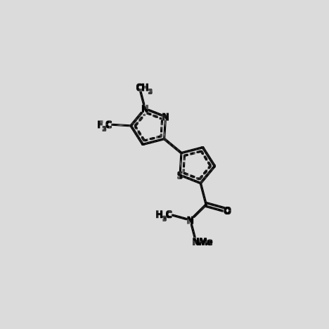 CNN(C)C(=O)c1ccc(-c2cc(C(F)(F)F)n(C)n2)s1